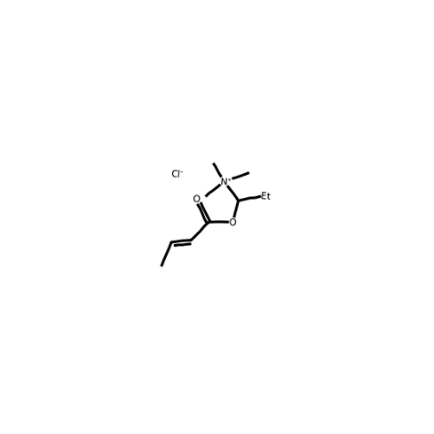 CC=CC(=O)OC(CC)[N+](C)(C)C.[Cl-]